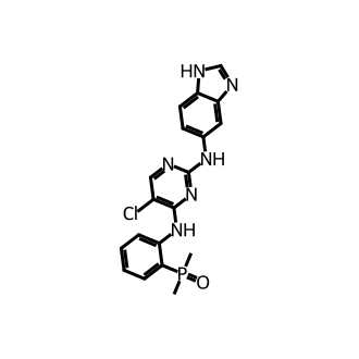 CP(C)(=O)c1ccccc1Nc1nc(Nc2ccc3[nH]cnc3c2)ncc1Cl